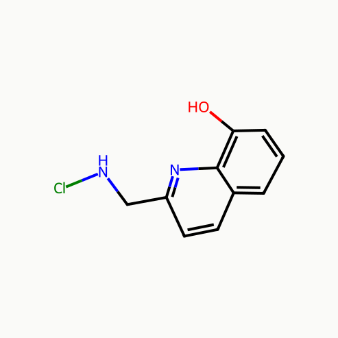 Oc1cccc2ccc(CNCl)nc12